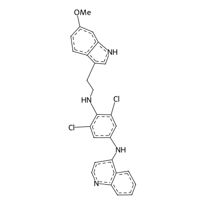 COc1ccc2c(CCNc3c(Cl)cc(Nc4ccnc5ccccc45)cc3Cl)c[nH]c2c1